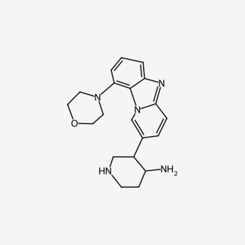 NC1CCNCC1c1ccc2nc3cccc(N4CCOCC4)c3n2c1